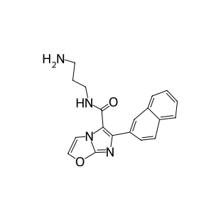 NCCCNC(=O)c1c(-c2ccc3ccccc3c2)nc2occn12